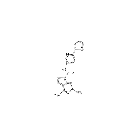 Cc1cc(C)n2cnc(C(=O)Nc3ccc(-c4ccco4)nc3)c2n1